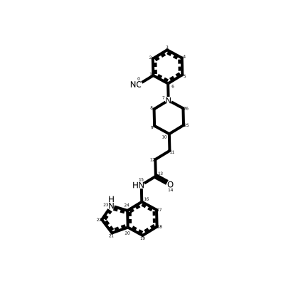 N#Cc1ccccc1N1CCC(CCC(=O)Nc2cccc3cc[nH]c23)CC1